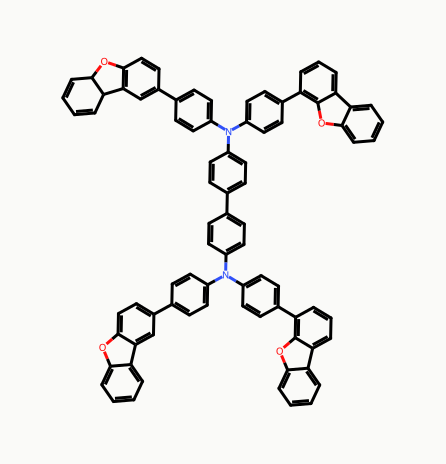 C1=CC2Oc3ccc(-c4ccc(N(c5ccc(-c6ccc(N(c7ccc(-c8ccc9oc%10ccccc%10c9c8)cc7)c7ccc(-c8cccc9c8oc8ccccc89)cc7)cc6)cc5)c5ccc(-c6cccc7c6oc6ccccc67)cc5)cc4)cc3C2C=C1